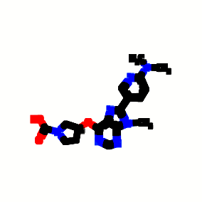 CN(C)c1ccc(-c2nc3c(O[C@H]4CCN(C(=O)O)C4)ncnc3n2C)cn1